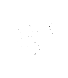 CC(=O)O/N=C1\CCOc2ccc3ccccc3c21